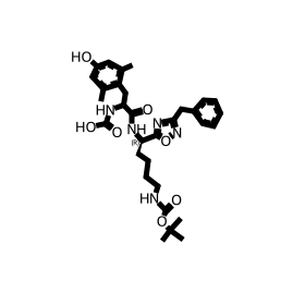 Cc1cc(O)cc(C)c1CC(NC(=O)O)C(=O)N[C@H](CCCCNC(=O)OC(C)(C)C)c1nc(Cc2ccccc2)no1